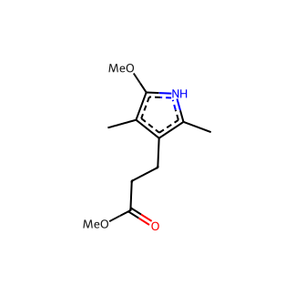 COC(=O)CCc1c(C)[nH]c(OC)c1C